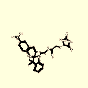 CC1(C)c2ccccc2N(CCOC(=O)CC[C@@H]2NC(=O)OC2=O)C12C=Cc1cc([N+](=O)[O-])ccc1O2